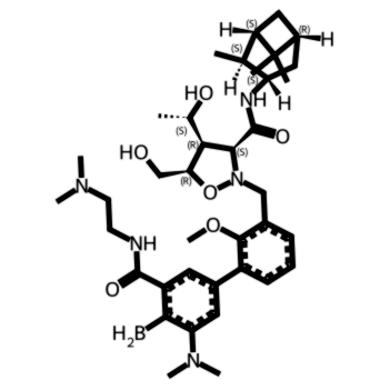 Bc1c(C(=O)NCCN(C)C)cc(-c2cccc(CN3O[C@@H](CO)[C@@H]([C@H](C)O)[C@H]3C(=O)N[C@H]3C[C@H]4C[C@@H]([C@@H]3C)C4(C)C)c2OC)cc1N(C)C